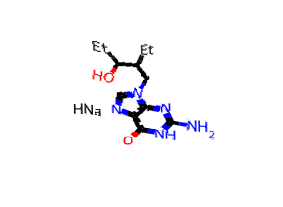 CCC(O)C(CC)Cn1cnc2c(=O)[nH]c(N)nc21.[NaH]